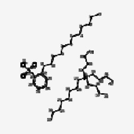 CCCCCCCCCCCCc1ccccc1S(=O)(=O)[O-].CCCCCCCC[N+](CCCC)(CCCC)CCCC